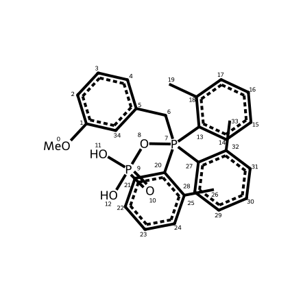 COc1cccc(CP(OP(=O)(O)O)(c2ccccc2C)(c2ccccc2C)c2ccccc2C)c1